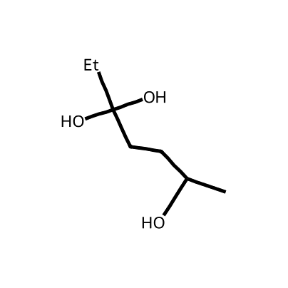 CCC(O)(O)CCC(C)O